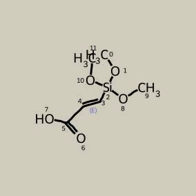 CO[Si](/C=C/C(=O)O)(OC)OC